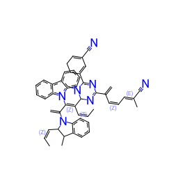 C=C(/C=C\C=C(/C)C#N)C1=NC(C(/C=C\C)=C(/C(=C)N2c3ccccc3C(C)C2/C=C\C)n2c3ccccc3c3ccccc32)N(C)C(C2=CC(C#N)=CCC2)=N1